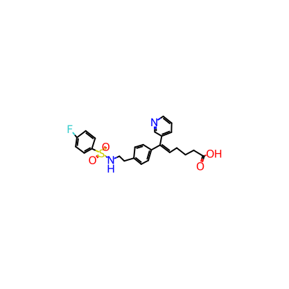 O=C(O)CCCC=C(c1ccc(CCNS(=O)(=O)c2ccc(F)cc2)cc1)c1cccnc1